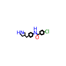 O=C(Nc1ccc(CC2CCNC2)cc1)c1ccc(Cl)cc1